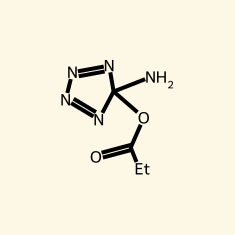 CCC(=O)OC1(N)N=NN=N1